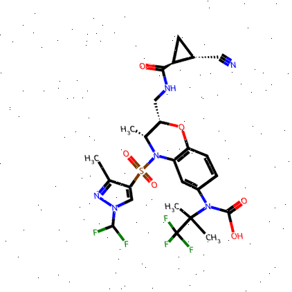 Cc1nn(C(F)F)cc1S(=O)(=O)N1c2cc(N(C(=O)O)C(C)(C)C(F)(F)F)ccc2O[C@@H](CNC(=O)[C@H]2C[C@@H]2C#N)[C@H]1C